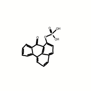 O=C1c2ccccc2-c2cccc3ccc(OP(=O)(O)O)c1c23